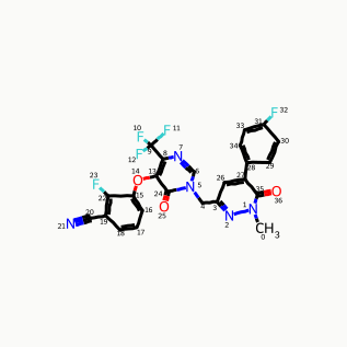 Cn1nc(Cn2cnc(C(F)(F)F)c(Oc3cccc(C#N)c3F)c2=O)cc(-c2ccc(F)cc2)c1=O